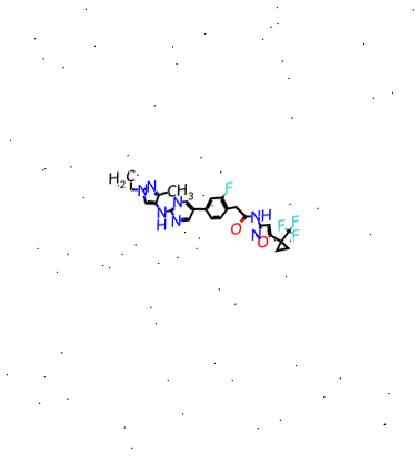 [CH2]Cn1cc(Nc2ncc(-c3ccc(CC(=O)Nc4cc(C5(C(F)(F)F)CC5)on4)c(F)c3)cn2)c(C)n1